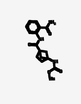 CC(C)(C)OC(=O)NC12CCC(C(=O)Nc3ccccc3C(N)=O)(C1)C2